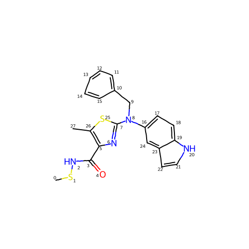 CSNC(=O)c1nc(N(Cc2ccccc2)c2ccc3[nH]ccc3c2)sc1C